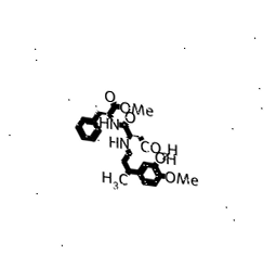 COC(=O)[C@H](Cc1ccccc1)NC(=O)[C@H](CC(=O)O)NCCC(C)c1ccc(OC)c(O)c1